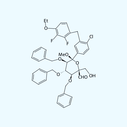 CCOc1ccc(Cc2cc([C@]3(OC)O[C@](C=O)(CO)[C@@H](OCc4ccccc4)[C@H](OCc4ccccc4)[C@H]3OCc3ccccc3)ccc2Cl)c(F)c1F